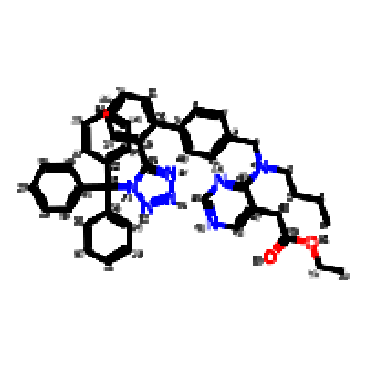 CCCCN(Cc1ccc(-c2ccccc2-c2nnnn2C(c2ccccc2)(c2ccccc2)c2ccccc2)cc1)c1ncncc1CC(=O)OCC